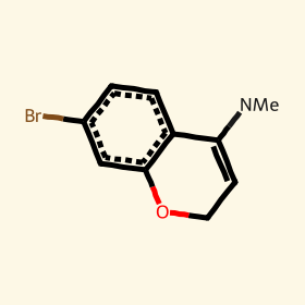 CNC1=CCOc2cc(Br)ccc21